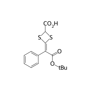 CC(C)(C)OC(=O)C(=C1SC(C(=O)O)S1)c1ccccc1